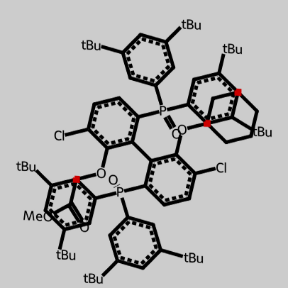 COC(=O)COc1c(Cl)ccc(P(=O)(c2cc(C(C)(C)C)cc(C(C)(C)C)c2)c2cc(C(C)(C)C)cc(C(C)(C)C)c2)c1-c1c(P(=O)(c2cc(C(C)(C)C)cc(C(C)(C)C)c2)c2cc(C(C)(C)C)cc(C(C)(C)C)c2)ccc(Cl)c1OC1CCCCC1